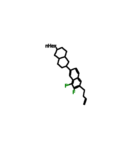 C=CCCc1cc2ccc(C3CCC4CC(CCCCCC)CCC4C3)cc2c(F)c1F